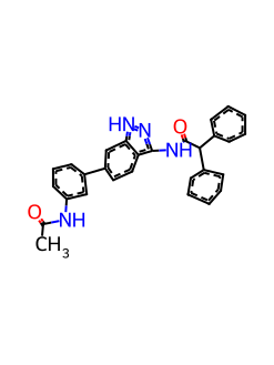 CC(=O)Nc1cccc(-c2ccc3c(NC(=O)C(c4ccccc4)c4ccccc4)n[nH]c3c2)c1